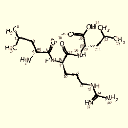 CC(C)C[C@@H](N)C(=O)N[C@H](CCCNC(=N)N)C(=O)N[C@@H](CC(C)C)C(=O)O